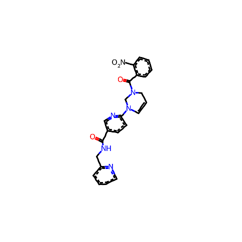 O=C(NCc1ccccn1)c1ccc(N2C=CCN(C(=O)c3ccccc3[N+](=O)[O-])C2)nc1